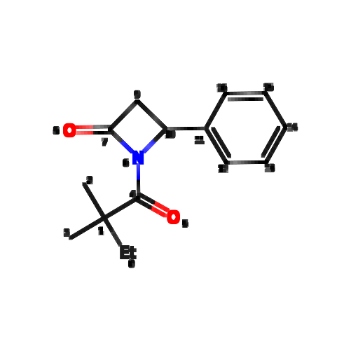 CCC(C)(C)C(=O)N1C(=O)CC1c1ccccc1